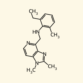 CCc1cccc(C)c1NCc1nccc2c1nc(C)n2C